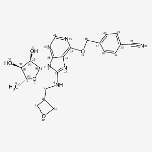 C[C@H]1O[C@@H](n2c(NCC3COC3)nc3c(OCc4ccc(C#N)cc4)ncnc32)[C@H](O)[C@@H]1O